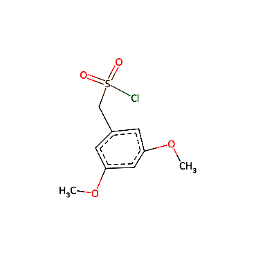 COc1cc(CS(=O)(=O)Cl)cc(OC)c1